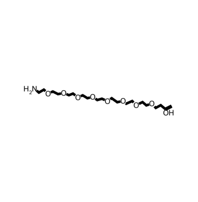 C=C(O)CCOCCOCCOCCOCCOCCOCCOCCOCCN